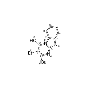 CCc1c(C(C)CC)nc2nc3ccccc3n2c1O